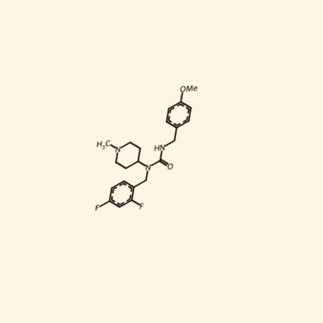 COc1ccc(CNC(=O)N(Cc2ccc(F)cc2F)C2CCN(C)CC2)cc1